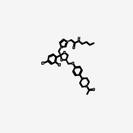 CCCCNC(=O)C[n+]1ccn(C[C@@]2(c3ccc(Cl)cc3Cl)OC[C@@H](COc3ccc(N4CCN(C(C)=O)CC4)cc3)O2)c1